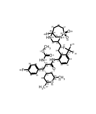 COC(=O)N[C@H](C(=O)Nc1cccc(C(F)(F)F)c1CCC1CN[C@@H]2CCCS(=O)(=O)N1C2)[C@@H](c1ccc(F)cc1)C1C[C@@H](C)O[C@@H](C)C1